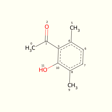 CC(=O)c1c(C)ccc(C)c1O